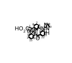 O=C(O)CC(c1ccccc1)S(=O)(=O)c1ccccc1NC(=O)c1cccc(Nc2ncc[nH]2)c1